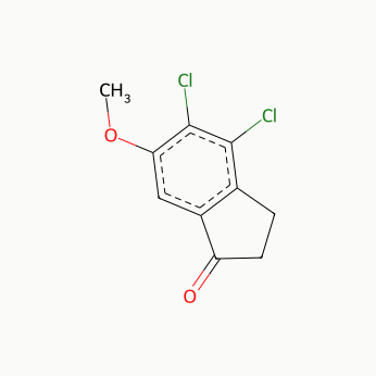 COc1cc2c(c(Cl)c1Cl)CCC2=O